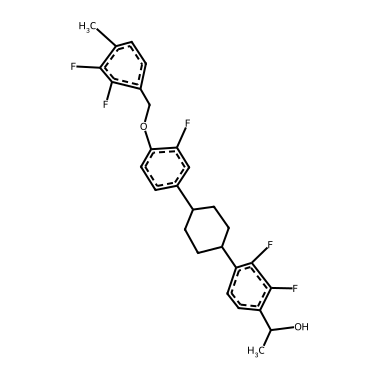 Cc1ccc(COc2ccc(C3CCC(c4ccc(C(C)O)c(F)c4F)CC3)cc2F)c(F)c1F